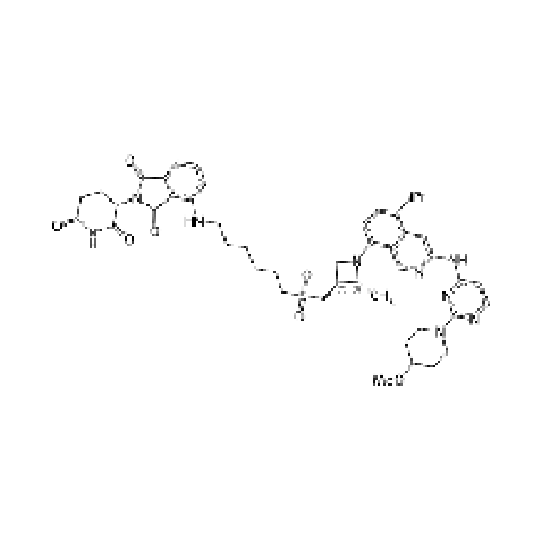 COC1CCN(c2nccc(Nc3cc4c(C(C)C)ccc(N5C[C@H](CS(=O)(=O)CCCCCCNc6cccc7c6C(=O)N(C6CCC(=O)NC6=O)C7=O)[C@H]5C)c4cn3)n2)CC1